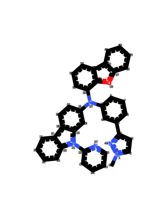 Cn1ccc(-c2cccc(N(c3ccc4c5ccccc5n(-c5ccccn5)c4c3)c3cccc4c3oc3ccccc34)c2)n1